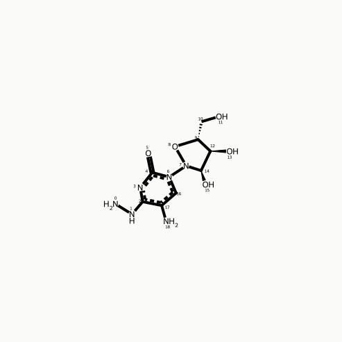 NNc1nc(=O)n(N2O[C@H](CO)[C@@H](O)[C@H]2O)cc1N